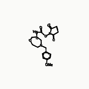 COc1ccc(CN2CCOC[C@@H](NC(=O)ON3C(=O)CCC3=O)C2)cc1